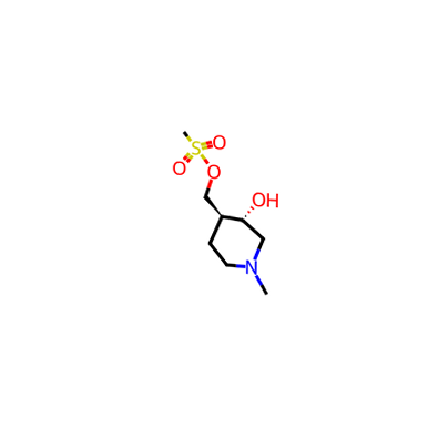 CN1CC[C@@H](COS(C)(=O)=O)[C@H](O)C1